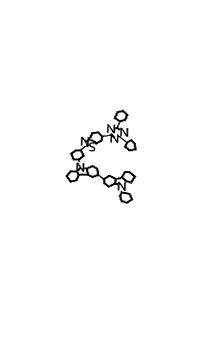 c1ccc(-c2nc(-c3ccccc3)nc(-c3ccc4nc(-c5cccc(-n6c7ccccc7c7cc(-c8ccc9c(c8)c8ccccc8n9-c8ccccc8)ccc76)c5)sc4c3)n2)cc1